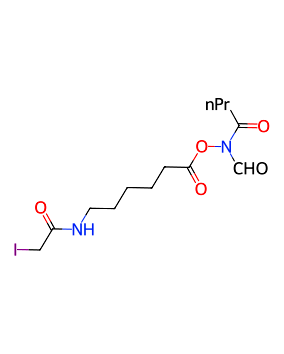 CCCC(=O)N(C=O)OC(=O)CCCCCNC(=O)CI